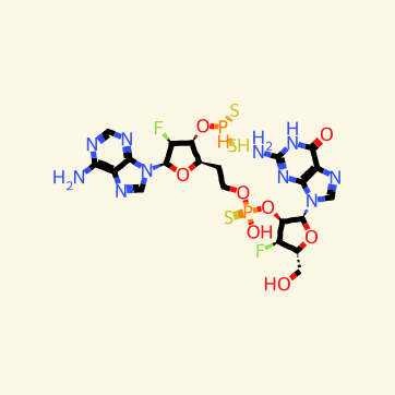 Nc1nc2c(ncn2[C@@H]2O[C@H](CO)[C@@H](F)[C@H]2OP(O)(=S)OCC[C@H]2O[C@@H](n3cnc4c(N)ncnc43)[C@@H](F)[C@@H]2O[PH](=S)S)c(=O)[nH]1